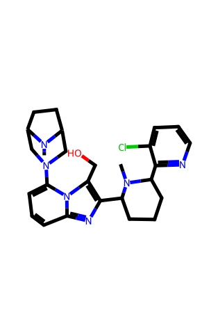 CN1C2CCC1CN(c1cccc3nc(C4CCCC(c5ncccc5Cl)N4C)c(CO)n13)C2